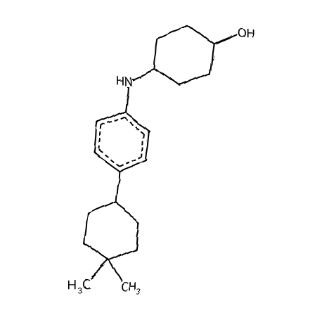 CC1(C)CCC(c2ccc(NC3CCC(O)CC3)cc2)CC1